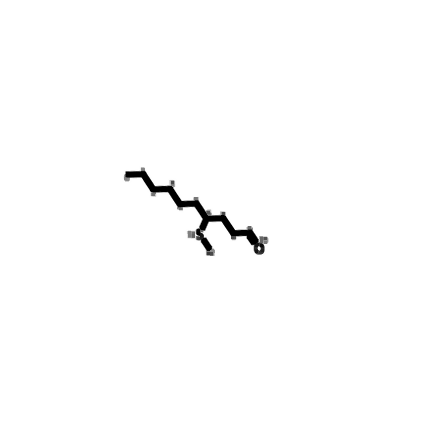 CCCCCCC(CCC=O)SC